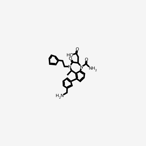 CC1c2c(-c3cccc(CN)c3)cccc2N(C(N)=O)C(CC(=O)O)C(=O)N1CCc1ccccc1